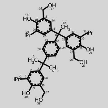 CC(C)c1cc(C(C)(C)c2ccc(C(C)(c3cc(CO)c(O)c(C(C)C)c3)c3cc(CO)c(O)c(C(C)C)c3)cc2)cc(CO)c1O